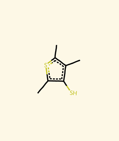 Cc1sc(C)c(S)c1C